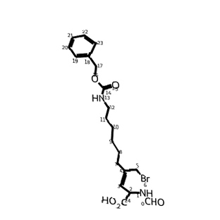 O=CNC(C=C(CBr)CCCCCCNC(=O)OCc1ccccc1)C(=O)O